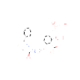 O=C(O)c1c(OC2CN(C(=O)[C@@H](CS)NCc3ccccc3)C2)ccc(CCB(O)O)c1O